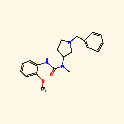 CN(C(=O)Nc1ccccc1OC(F)(F)F)C1CCN(Cc2ccccc2)C1